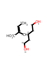 CC=C(C)C(=O)O.OCCCCCO